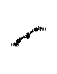 c1cc(OCCCOc2ccc(-c3nn[nH]n3)cc2)c2ccn(CCCOc3ccc(-c4nn[nH]n4)cc3)c2c1